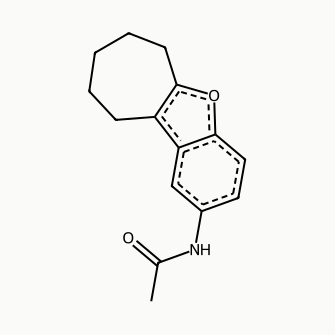 CC(=O)Nc1ccc2oc3c(c2c1)CCCCC3